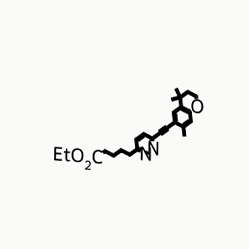 CCOC(=O)CCCCc1ccc(C#Cc2cc3c(cc2C)OCCC3(C)C)nn1